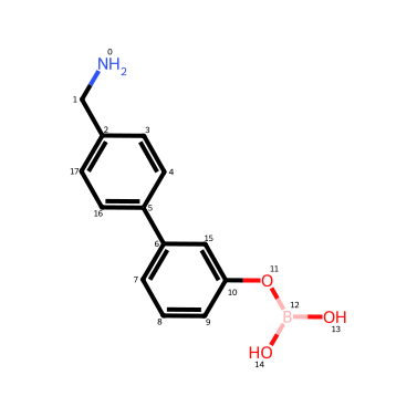 NCc1ccc(-c2cccc(OB(O)O)c2)cc1